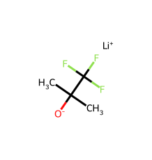 CC(C)([O-])C(F)(F)F.[Li+]